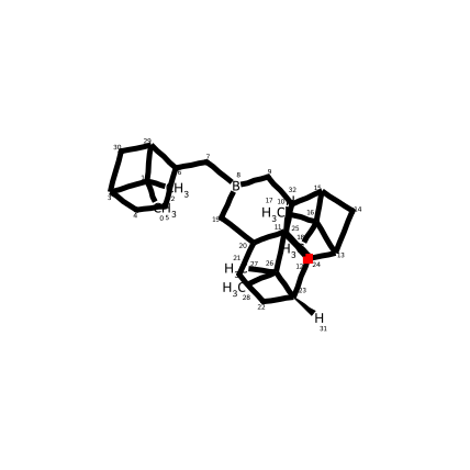 CC1(C)C2CCC(CB(CC3CCC4CC3C4(C)C)CC3CC[C@H]4C[C@@H]3C4(C)C)C1C2